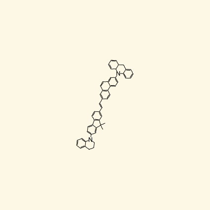 CC1(C)c2cc(/C=C/c3ccc4c(ccc5cc(N6c7ccccc7CC7C=CC=CC76)ccc54)c3)ccc2-c2ccc(N3CCCc4ccccc43)cc21